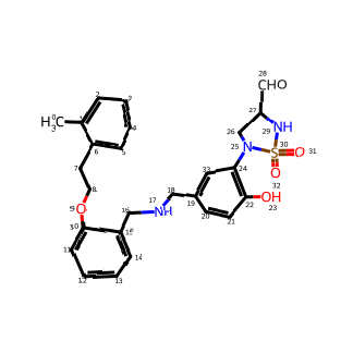 Cc1ccccc1CCOc1ccccc1CNCc1ccc(O)c(N2CC(C=O)NS2(=O)=O)c1